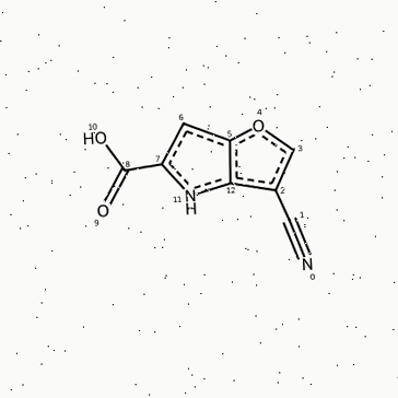 N#Cc1coc2cc(C(=O)O)[nH]c12